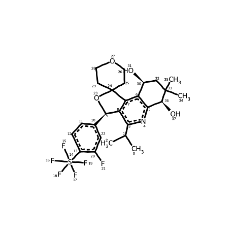 CC(C)c1nc2c(c3c1[C@@H](c1ccc(S(F)(F)(F)(F)F)c(F)c1)OC31CCOCC1)[C@@H](O)CC(C)(C)[C@H]2O